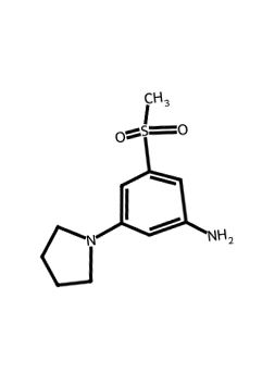 CS(=O)(=O)c1cc(N)cc(N2CCCC2)c1